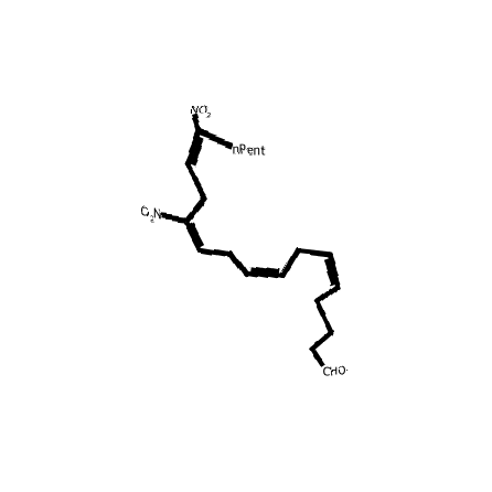 CCCCC/C(=C\C/C(=C\C/C=C\C/C=C\CCC[C]=O)[N+](=O)[O-])[N+](=O)[O-]